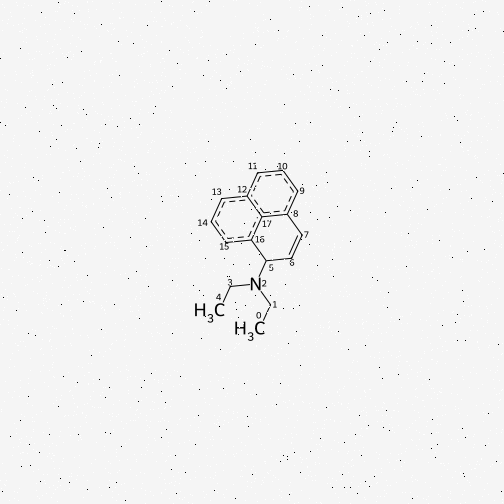 CCN(CC)C1C=Cc2cccc3cccc1c23